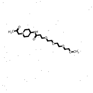 COCCOCCOCCOCCC(=O)NC1CCN(CC(C)=O)CC1